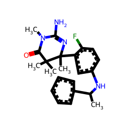 CC(Nc1ccc(F)c(C2(C)N=C(N)N(C)C(=O)C2(C)C)c1)c1ccccc1